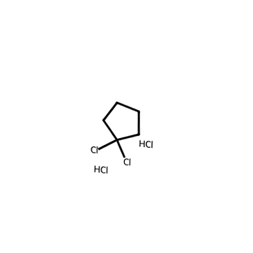 Cl.Cl.ClC1(Cl)CCCC1